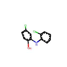 Oc1ccc(Cl)cc1Nc1ccccc1Cl